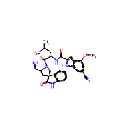 COc1cc(C#N)cc2[nH]c(C(=O)N[C@@H](CC(C)C)C(=O)N3C[C@]4(C[C@H]3C=N)C(=O)Nc3ccccc34)cc12